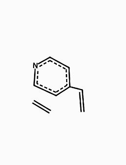 C=C.C=Cc1ccncc1